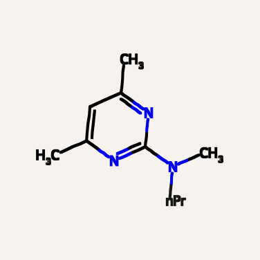 CCCN(C)c1nc(C)cc(C)n1